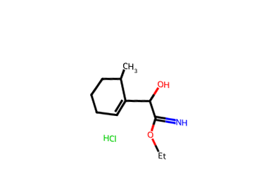 CCOC(=N)C(O)C1=CCCCC1C.Cl